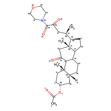 CC(=O)O[C@@H]1CC[C@]2(C)C3C(=O)C[C@@]4(C)C(CC[C@@H]4[C@H](C)CC(=O)C(=O)N4CCOCC4)C3CC[C@@H]2C1